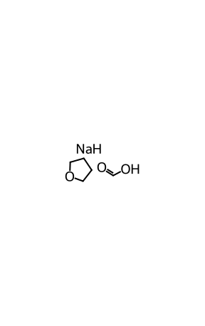 C1CCOC1.O=CO.[NaH]